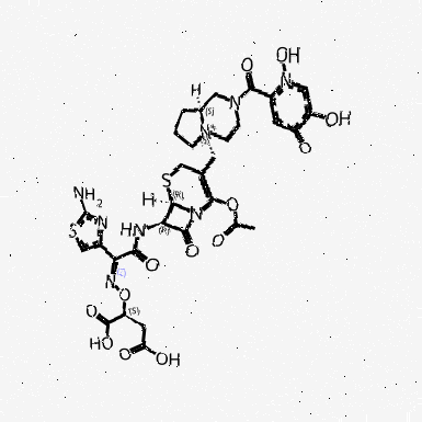 CC(=O)OC1=C(C[N@+]23CCC[C@H]2CN(C(=O)c2cc(=O)c(O)cn2O)CC3)CS[C@@H]2[C@H](NC(=O)/C(=N\O[C@@H](CC(=O)O)C(=O)O)c3csc(N)n3)C(=O)N12